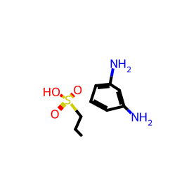 CCCS(=O)(=O)O.Nc1cccc(N)c1